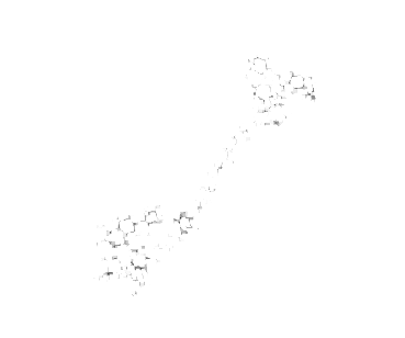 Cc1ncccc1C1=CN=C(OCCOCCOCCOCCOCCOCc2cn(CCCCCC(=O)N[C@@H](C(=O)N3C[C@H](O)C[C@H]3C(=O)N[C@@H](C)c3ccc(-c4scnc4C)cc3)C(C)(C)C)nn2)C(NC(=O)c2cccc(C(F)(F)F)c2)(N2CCOCC2)C1